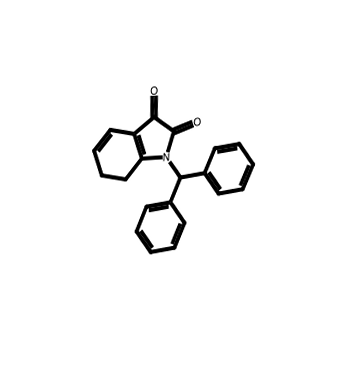 O=C1C(=O)N(C(c2ccccc2)c2ccccc2)C2=C1C=CCC2